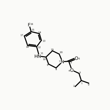 CC(C)COC(=O)N1CCC(Nc2ccc(F)cc2)CC1